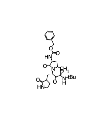 CC1C[C@H](NC(=O)OCc2ccccc2)C(=O)N1[C@@H](CC1CCNC1=O)C(=O)C(=O)NC(C)(C)C